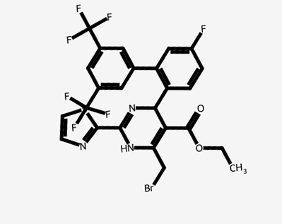 CCOC(=O)C1=C(CBr)NC(c2nccs2)=NC1c1ccc(F)cc1-c1cc(C(F)(F)F)cc(C(F)(F)F)c1